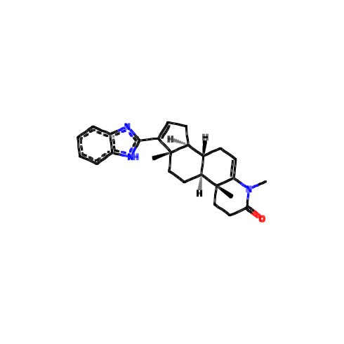 CN1C(=O)CC[C@@]2(C)C1=CC[C@@H]1[C@@H]2CC[C@]2(C)C(c3nc4ccccc4[nH]3)=CC[C@@H]12